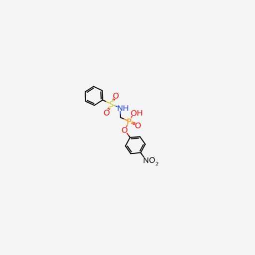 O=[N+]([O-])c1ccc(OP(=O)(O)CNS(=O)(=O)c2ccccc2)cc1